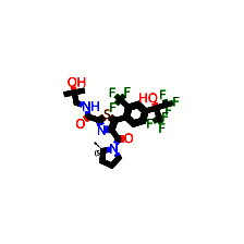 C[C@H]1CCCN1C(=O)c1nc(C(=O)NCC(C)(C)O)sc1-c1ccc(C(O)(C(F)(F)F)C(F)(F)F)cc1C(F)(F)F